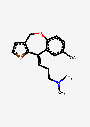 CC(=O)Oc1ccc2c(c1)/C(=C\CCN(C)C)c1sccc1CO2